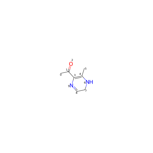 CC(=O)C1=C(C)NCC=N1